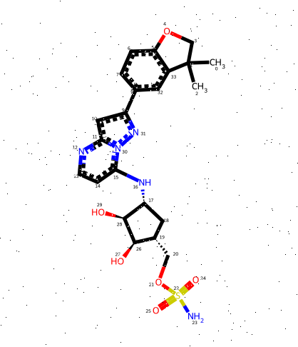 CC1(C)COc2ccc(-c3cc4nccc(N[C@@H]5C[C@H](COS(N)(=O)=O)[C@@H](O)[C@H]5O)n4n3)cc21